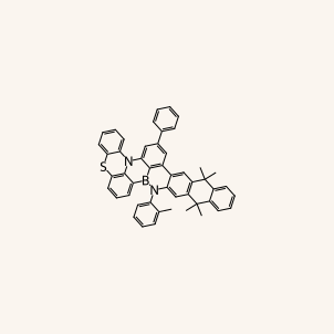 Cc1ccccc1N1B2c3cccc4c3N(c3ccccc3S4)c3cc(-c4ccccc4)cc(c32)-c2cc3c(cc21)C(C)(C)c1ccccc1C3(C)C